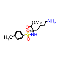 COC(=O)[C@H](CCCCN)NS(=O)(=O)c1ccc(C)cc1